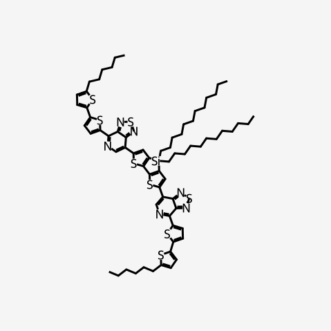 CCCCCCCCCCCC[Si]1(CCCCCCCCCCCC)c2cc(-c3cnc(-c4ccc(-c5ccc(CCCCCC)s5)s4)c4nsnc34)sc2-c2sc(-c3cnc(-c4ccc(-c5ccc(CCCCCC)s5)s4)c4nsnc34)cc21